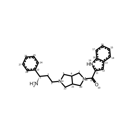 N[C@@H](CCN1CC2CN(C(=O)c3cc4ccccc4[nH]3)CC2C1)c1ccccc1